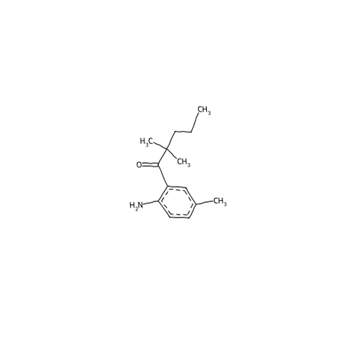 CCCC(C)(C)C(=O)c1cc(C)ccc1N